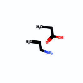 C=CCN.CCC(=O)O